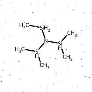 C[SiH2]N([SiH](C)C)[SH](C)C